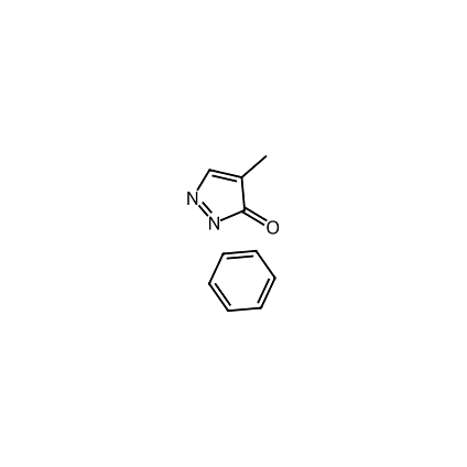 CC1=CN=NC1=O.c1ccccc1